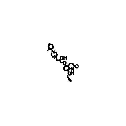 C#CCOc1ccc(OCC(O)CN2CCN(c3ccccc3C)CC2)c2c1NC(=O)CC2